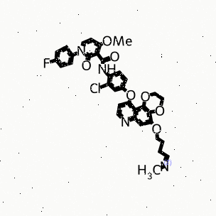 C/N=C\CCCOc1cc2nccc(Oc3ccc(NC(=O)c4c(OC)ccn(-c5ccc(F)cc5)c4=O)c(Cl)c3)c2c2c1OCCO2